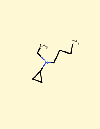 CCCCN(CC)[C]1CC1